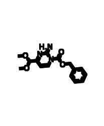 COC(OC)C1=NC(N)N(C(=O)OCc2ccccc2)C=C1